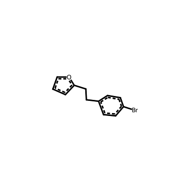 Brc1ccc(CCc2ccco2)cc1